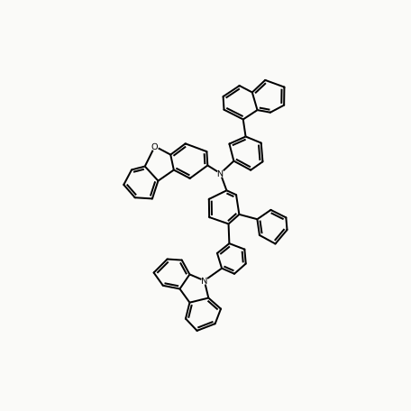 c1ccc(-c2cc(N(c3cccc(-c4cccc5ccccc45)c3)c3ccc4oc5ccccc5c4c3)ccc2-c2cccc(-n3c4ccccc4c4ccccc43)c2)cc1